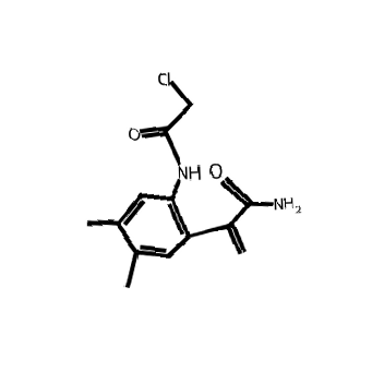 C=C(C(N)=O)c1cc(C)c(C)cc1NC(=O)CCl